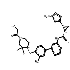 Cn1cc([C@H]2C[C@@H]2C(=O)Nc2cc(-c3ccc(O[C@H]4CCN(C(=O)CO)CC4(F)F)c(C#N)c3)ccn2)cn1